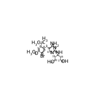 COc1cc(C(C)C)c(Cc2cnc(NC(CCO)CCO)nc2N)cc1Br